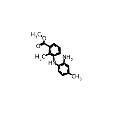 COC(=O)c1cccc(Nc2ccc(C)cc2N)c1C